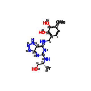 COc1ccc(CNc2nc(N[C@@H](CO)C(C)C)nc3nn[nH]c23)c(O)c1O